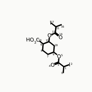 CC(I)C(=O)OC1CCC(C(=O)O)C(OC(=O)C(C)I)C1